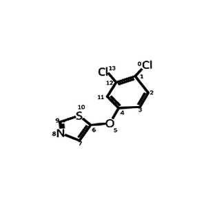 Clc1ccc(Oc2cn[c]s2)cc1Cl